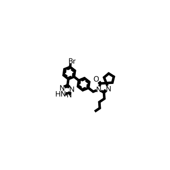 CCCCC1=NC2(CCCC2)C(=O)N1Cc1ccc(-c2cc(Br)ccc2-c2nn[nH]n2)cc1